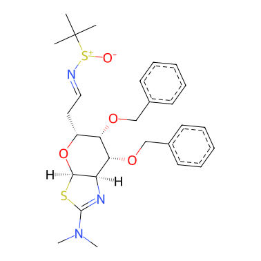 CN(C)C1=N[C@@H]2[C@@H](OCc3ccccc3)[C@@H](OCc3ccccc3)[C@@H](CC=N[S+]([O-])C(C)(C)C)O[C@@H]2S1